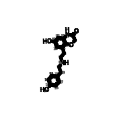 O=C1COc2c(CCNCCc3ccc(O)cc3)cc(O)cc2N1